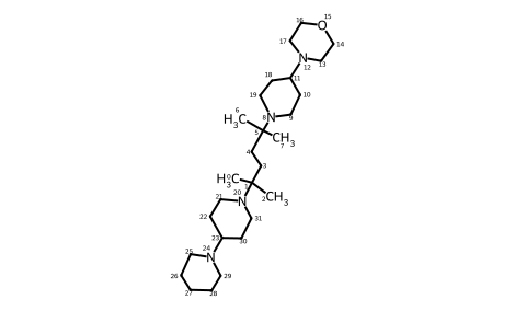 CC(C)(CCC(C)(C)N1CCC(N2CCOCC2)CC1)N1CCC(N2CCCCC2)CC1